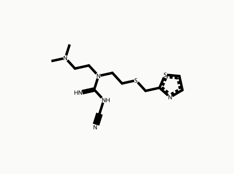 CN(C)CCN(CCSCc1nccs1)C(=N)NC#N